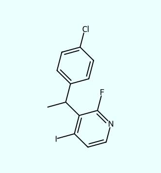 CC(c1ccc(Cl)cc1)c1c(I)ccnc1F